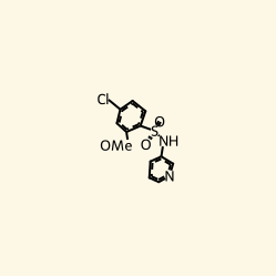 COc1cc(Cl)ccc1S(=O)(=O)Nc1cccnc1